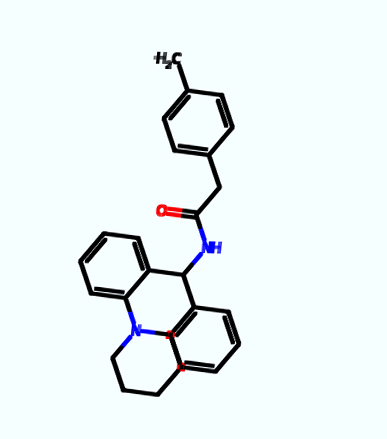 [CH2]c1ccc(CC(=O)NC(c2ccccc2)c2ccccc2N2CCCCC2)cc1